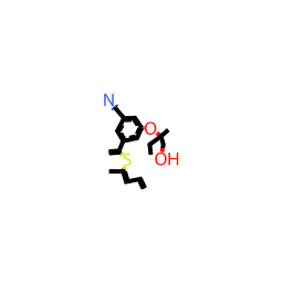 C=C/C=C(/C)SC(=C)c1cc(C#N)cc(OC(C)(CC)CO)c1